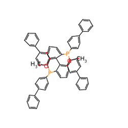 COc1cccc(P(c2ccc(-c3ccccc3)cc2)c2ccc(-c3ccccc3)cc2)c1-c1c(OC)cccc1P(c1ccc(-c2ccccc2)cc1)c1ccc(-c2ccccc2)cc1